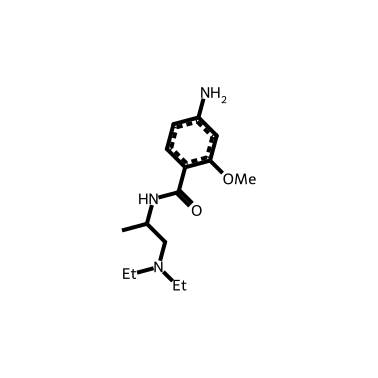 CCN(CC)CC(C)NC(=O)c1ccc(N)cc1OC